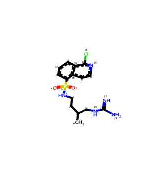 CC(CCNS(=O)(=O)c1cccc2c(Cl)nccc12)CNC(=N)N